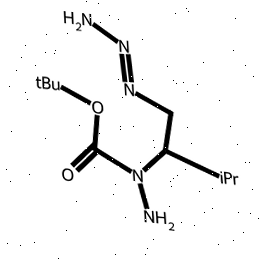 CC(C)C(CN=NN)N(N)C(=O)OC(C)(C)C